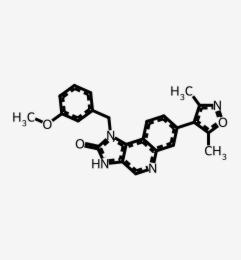 COc1cccc(Cn2c(=O)[nH]c3cnc4cc(-c5c(C)noc5C)ccc4c32)c1